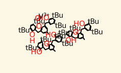 Cc1cc(Cc2cc(C(C)(C)C)cc(C(C)(C)C)c2O)c([O-])c(Cc2cc(C(C)(C)C)cc(C(C)(C)C)c2O)c1.Cc1cc(Cc2cc(C(C)(C)C)cc(C(C)(C)C)c2O)c([O-])c(Cc2cc(C(C)(C)C)cc(C(C)(C)C)c2O)c1.Cc1cc(Cc2cc(C(C)(C)C)cc(C(C)(C)C)c2O)c([O-])c(Cc2cc(C(C)(C)C)cc(C(C)(C)C)c2O)c1.[O]=[V+3]